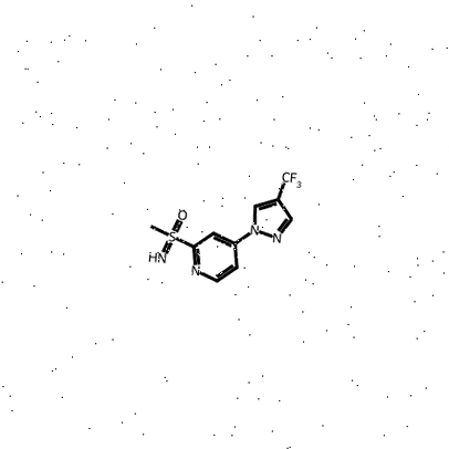 CS(=N)(=O)c1cc(-n2cc(C(F)(F)F)cn2)ccn1